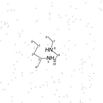 CCCC(C)N.CCNCC